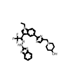 CCn1cc(C(=NNc2nc3ccccc3s2)C(F)(F)F)c2cc(-c3nc(CN4CCC(O)CC4)cs3)ccc21